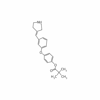 CC(C)(C)C(=O)Oc1ccc(Oc2cccc(C=C3CCNCC3)c2)cc1